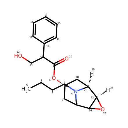 CCCCN1C2C[C@H](OC(=O)C(CO)c3ccccc3)C[C@H]1[C@H]1OC21